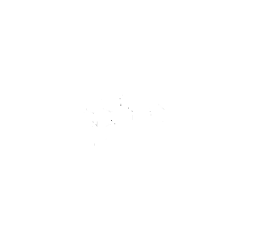 Cc1cc(CNC(=O)c2nc3n(c(=O)c2O)CCOC3(C)C)cs1